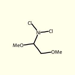 COC[CH](OC)[Ni]([Cl])[Cl]